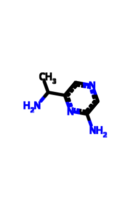 CC(N)c1cncc(N)n1